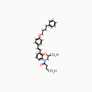 O=C(O)CCC(=O)N1CC(C(=O)O)Oc2c(/C=C/c3ccc(OCCCCc4ccccc4)cc3)cccc21